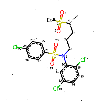 CCS(=O)(=O)[C@H](C)CCCN(c1cc(Cl)ccc1Cl)S(=O)(=O)c1ccc(Cl)cc1